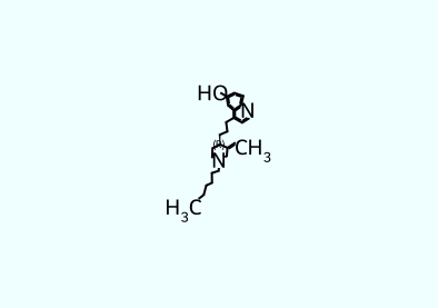 CC=C1CN(CCCCCCC)CC[C@H]1CCCc1ccnc2ccc(O)cc12